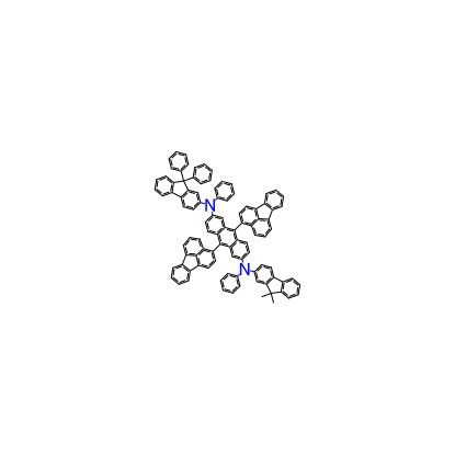 CC1(C)c2ccccc2-c2ccc(N(c3ccccc3)c3ccc4c(-c5ccc6c7c(cccc57)-c5ccccc5-6)c5cc(N(c6ccccc6)c6ccc7c(c6)C(c6ccccc6)(c6ccccc6)c6ccccc6-7)ccc5c(-c5ccc6c7c(cccc57)-c5ccccc5-6)c4c3)cc21